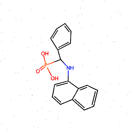 O=P(O)(O)C(Nc1cccc2ccccc12)c1ccccc1